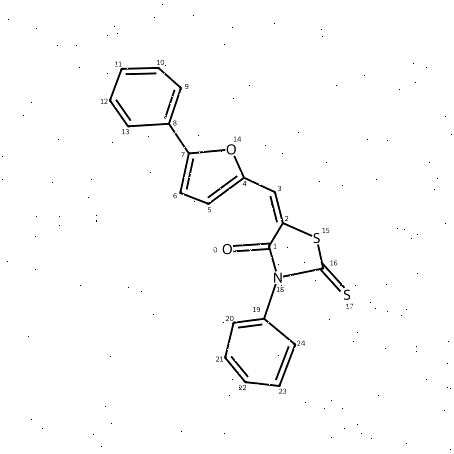 O=C1/C(=C\c2ccc(-c3ccccc3)o2)SC(=S)N1c1ccccc1